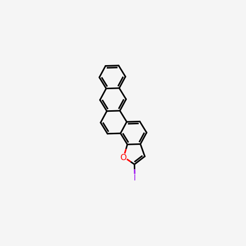 Ic1cc2ccc3c4cc5ccccc5cc4ccc3c2o1